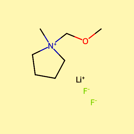 COC[N+]1(C)CCCC1.[F-].[F-].[Li+]